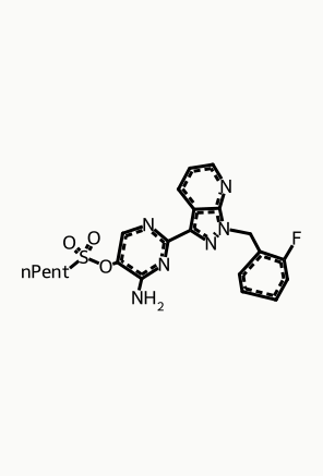 CCCCCS(=O)(=O)Oc1cnc(-c2nn(Cc3ccccc3F)c3ncccc23)nc1N